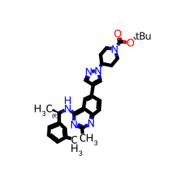 Cc1cccc([C@@H](C)Nc2nc(C)nc3ccc(-c4cnn(C5CCN(C(=O)OC(C)(C)C)CC5)c4)cc23)c1